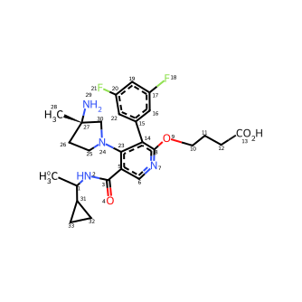 CC(NC(=O)c1cnc(OCCCC(=O)O)c(-c2cc(F)cc(F)c2)c1N1CC[C@](C)(N)C1)C1CC1